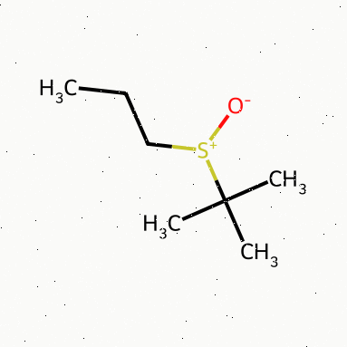 CCC[S+]([O-])C(C)(C)C